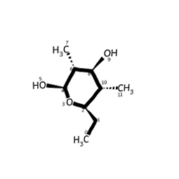 CC[C@H]1O[C@@H](O)[C@H](C)[C@@H](O)[C@@H]1C